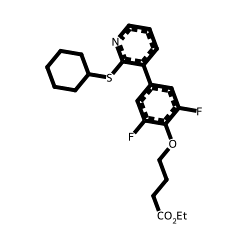 CCOC(=O)CCCOc1c(F)cc(-c2cccnc2SC2CCCCC2)cc1F